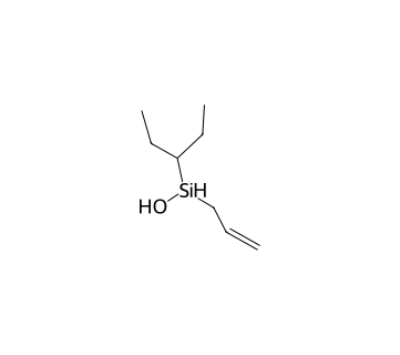 C=CC[SiH](O)C(CC)CC